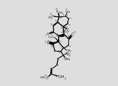 C/C(=C\CCC(C)(O)C1CC(=O)C2(C)C3=C(C(=O)CC12C)C1(C)CCC(O)C(C)(C)C1CC3=O)C(=O)O